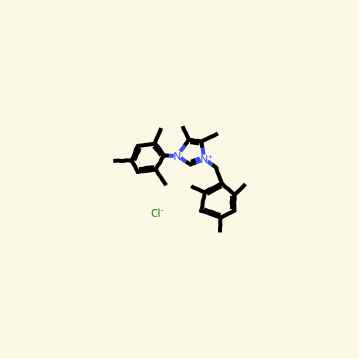 Cc1cc(C)c(C[n+]2cn(-c3c(C)cc(C)cc3C)c(C)c2C)c(C)c1.[Cl-]